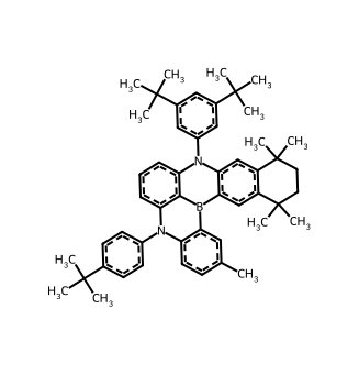 Cc1ccc2c(c1)B1c3cc4c(cc3N(c3cc(C(C)(C)C)cc(C(C)(C)C)c3)c3cccc(c31)N2c1ccc(C(C)(C)C)cc1)C(C)(C)CCC4(C)C